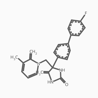 C=C1C(C)=CC=CN1CC1(c2ccc(-c3ccc(F)cc3)cc2)NC(=O)NC1=C